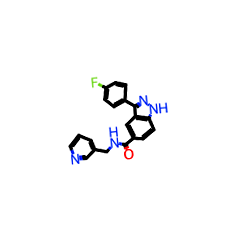 O=C(NCc1cccnc1)c1ccc2[nH]nc(-c3ccc(F)cc3)c2c1